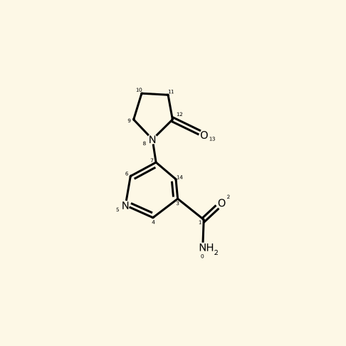 NC(=O)c1cncc(N2CCCC2=O)c1